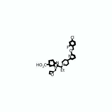 CC[C@@H](c1nc2ccc(C(=O)O)cc2n1C[C@@H]1CCO1)N1CCC(c2cccc(OCc3ccc(Cl)cc3F)n2)CC1